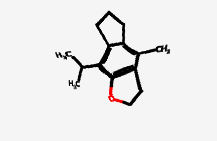 Cc1c2c(c(C(C)C)c3c1CCO3)CCC2